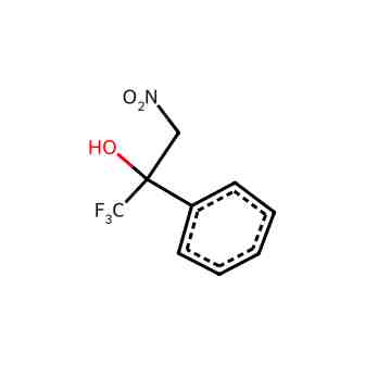 O=[N+]([O-])CC(O)(c1ccccc1)C(F)(F)F